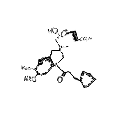 COc1cc2c(cc1OC)N(C(=O)CCc1ccccc1)CC(N(C)C)C2.O=C(O)C=CC(=O)O